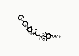 COc1cc(C)c(S(=O)(=O)N(C)CCC(=O)Nc2ccc(N3CCC(N4CCCCC4)CC3)cc2)c(C)c1